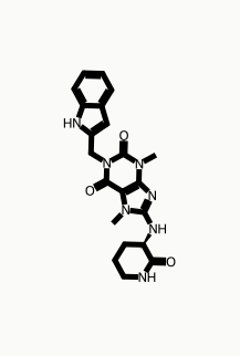 Cn1c(N[C@@H]2CCCNC2=O)nc2c1c(=O)n(Cc1cc3ccccc3[nH]1)c(=O)n2C